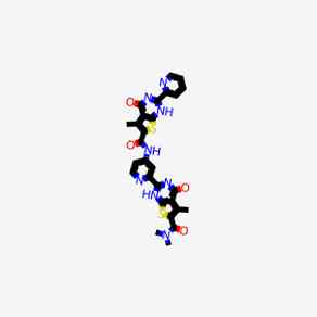 Cc1c(C(=O)Nc2ccnc(-c3nc(=O)c4c(C)c(C(=O)N(C)C)sc4[nH]3)c2)sc2[nH]c(-c3ccccn3)nc(=O)c12